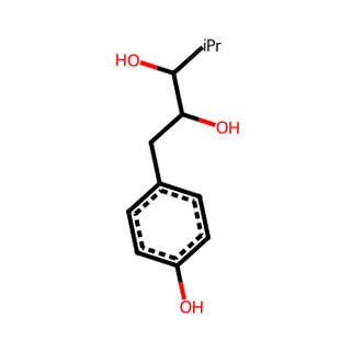 CC(C)C(O)C(O)Cc1ccc(O)cc1